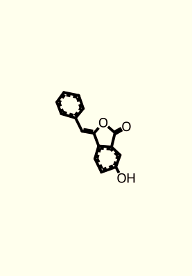 O=C1OC(=Cc2ccccc2)c2ccc(O)cc21